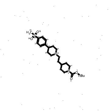 CC(C)(C)OC(=O)N1CCC(CCN2CCC(c3ccc(S(C)(=O)=O)cc3)CC2)CC1